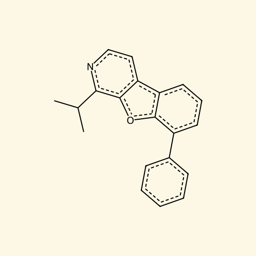 CC(C)c1nccc2c1oc1c(-c3ccccc3)cccc12